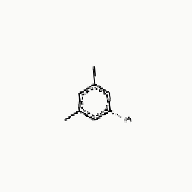 [CH2][C@@H](C)c1cc(C)cc(C)c1